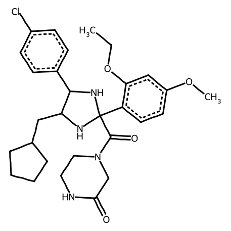 CCOc1cc(OC)ccc1C1(C(=O)N2CCNC(=O)C2)NC(CC2CCCC2)C(c2ccc(Cl)cc2)N1